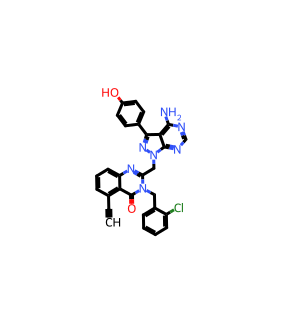 C#Cc1cccc2nc(Cn3nc(-c4ccc(O)cc4)c4c(N)ncnc43)n(Cc3ccccc3Cl)c(=O)c12